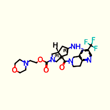 N[C@@H]1C[C@H]2CN(C(=O)OCCN3CCOCC3)C[C@@]2(C(=O)N2CCc3ncc(C(F)(F)F)cc3C2)C1